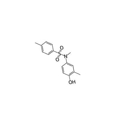 Cc1ccc(S(=O)(=O)N(C)c2ccc(O)c(C)c2)cc1